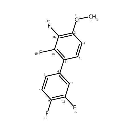 COc1ccc(-c2ccc(F)c(F)c2)c(F)c1F